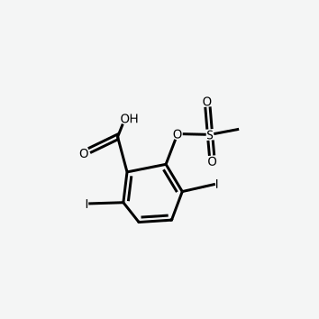 CS(=O)(=O)Oc1c(I)ccc(I)c1C(=O)O